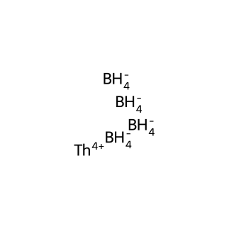 [BH4-].[BH4-].[BH4-].[BH4-].[Th+4]